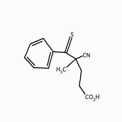 CC(C#N)(CCC(=O)O)C(=S)c1ccccc1